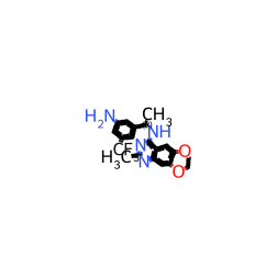 Cc1nc(N[C@H](C)c2cc(N)cc(C(F)(F)F)c2)c2cc3c(cc2n1)OCCO3